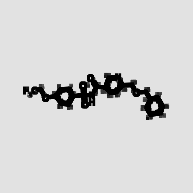 O=C(NS(=O)(=O)c1ccc(OCC(F)(F)F)cc1)c1ccc(COCc2ccccc2)nc1